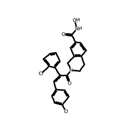 O=C(NO)c1ccc2c(c1)CN(C(=O)C(=Cc1ccc(Cl)cc1)c1ccccc1Cl)CC2